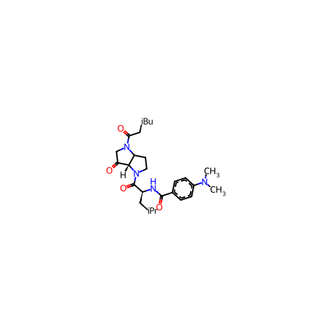 CCC(C)CC(=O)N1CC(=O)[C@@H]2C1CCN2C(=O)[C@H](CC(C)C)NC(=O)c1ccc(N(C)C)cc1